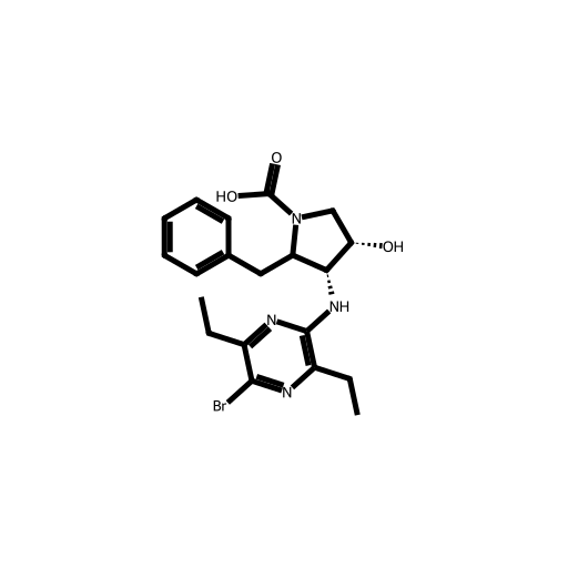 CCc1nc(N[C@@H]2C(Cc3ccccc3)N(C(=O)O)C[C@@H]2O)c(CC)nc1Br